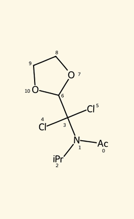 CC(=O)N(C(C)C)C(Cl)(Cl)C1OCCO1